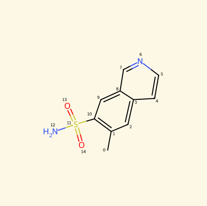 Cc1cc2ccncc2cc1S(N)(=O)=O